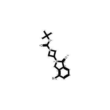 CC(C)(C)OC(=O)N1CC(N2Cc3c(Br)cccc3C2=O)C1